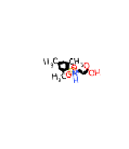 Cc1cc(C)c(S(=O)(=O)NCCC(=O)O)c(C)c1